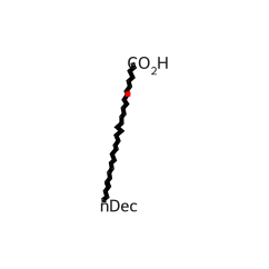 CCCCCCCCCCCCCC=CCCCCCCCCCCCCCCCCCCCCCCCCCC(=O)O